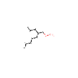 BOCC(CCC)CCCCC